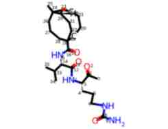 CC(=O)[C@H](CCCNC(N)=O)NC(=O)[C@@H](NC(=O)C12CCCCCC(C)(CCC1)[C@H](C)CC2)C(C)C